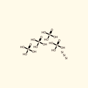 O=P(O)(O)O.O=P(O)(O)O.O=P(O)(O)O.O=P(O)(O)O.[Si].[Si].[Si]